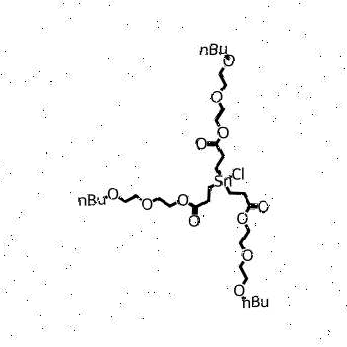 CCCCOCCOCCOC(=O)C[CH2][Sn]([Cl])([CH2]CC(=O)OCCOCCOCCCC)[CH2]CC(=O)OCCOCCOCCCC